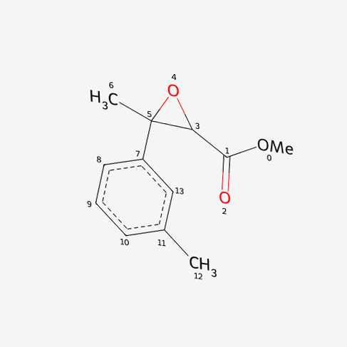 COC(=O)C1OC1(C)c1cccc(C)c1